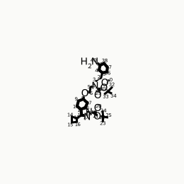 CO[C@@H](CN(CCOc1ccc2c(C3CCC3)nn(C(=O)OC(C)(C)C)c2c1)C(=O)OC(C)(C)C)c1cccc(N)c1